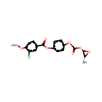 CCCCCCCCCCOc1ccc(C(=O)Oc2ccc(OC(=O)O[C@H]3O[C@@H]3CCC)cc2)cc1Cl